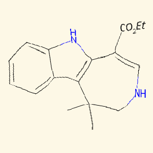 CCOC(=O)C1=CNCC(C)(C)c2c1[nH]c1ccccc21